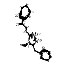 Cn1c(Cc2ccccc2)nnc1SCC(=O)c1ccccc1